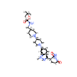 Cn1nc(C2CCC(=O)NC2=O)c2ccc(N3CCC(N4CCC(CNC(=O)OC(C)(C)C)CC4)CC3)cc21